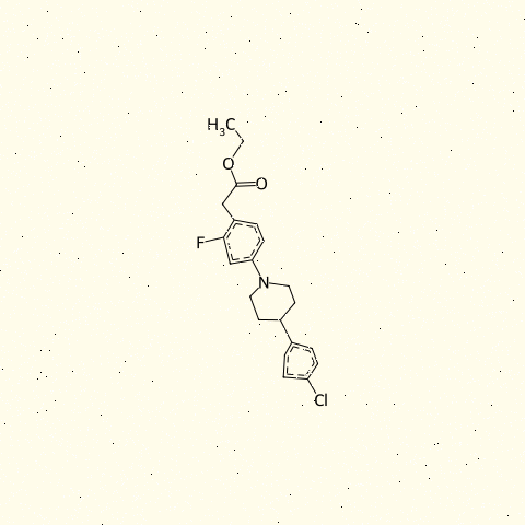 CCOC(=O)Cc1ccc(N2CCC(c3ccc(Cl)cc3)CC2)cc1F